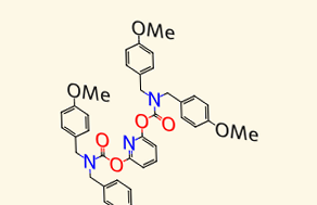 COc1ccc(CN(Cc2ccc(OC)cc2)C(=O)Oc2cccc(OC(=O)N(Cc3ccc(OC)cc3)Cc3ccc(OC)cc3)n2)cc1